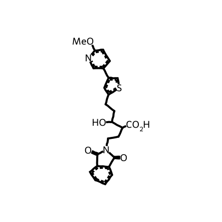 COc1ccc(-c2csc(CCC(O)C(CCN3C(=O)c4ccccc4C3=O)C(=O)O)c2)cn1